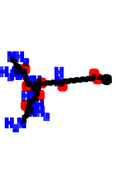 NCCCC[C@H](N)C(=O)NCCNC(=O)c1cc(OCCCCCNC(=O)CCCCCCCCCCC(=O)OCc2ccccc2)cc(C(=O)NCCNC(=O)[C@@H](N)CCCCN)c1